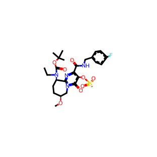 CCN(C(=O)OC(C)(C)C)[C@@H]1CC[C@H](OC)Cn2c1nc(C(=O)NCc1ccc(F)cc1)c(OS(C)(=O)=O)c2=O